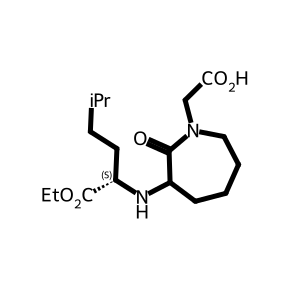 CCOC(=O)[C@H](CCC(C)C)NC1CCCCN(CC(=O)O)C1=O